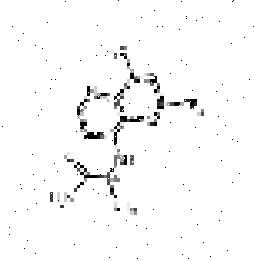 C[C@H](Nc1ccnc2c(C(F)(F)F)cc(C(F)(F)F)cc12)C(N)=O